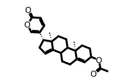 CC(=O)OC1C=C2CCC3C4=CC[C@H](c5ccc(=O)oc5)[C@@]4(C)CCC3[C@@]2(C)CC1